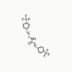 O=C(/C=C/c1ccc(C(F)(F)F)cc1)NC/C=C/c1ccc(C(F)(F)F)cc1